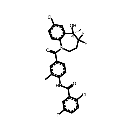 Cc1cc(C(=O)N2CCC(F)(F)[C@](C)(O)c3cc(Cl)ccc32)ccc1NC(=O)c1cc(F)ccc1Cl